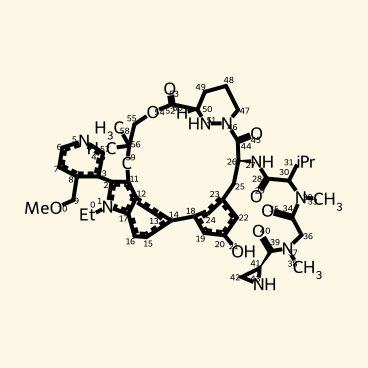 CCn1c(-c2cnccc2COC)c2c3cc(ccc31)-c1cc(O)cc(c1)C[C@H](NC(=O)C(C(C)C)N(C)C(=O)CN(C)C(=O)[C@@H]1CN1)C(=O)N1CCC[C@H](N1)C(=O)OCC(C)(C)C2